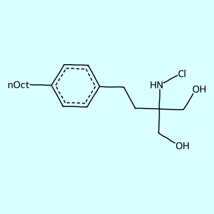 CCCCCCCCc1ccc(CCC(CO)(CO)NCl)cc1